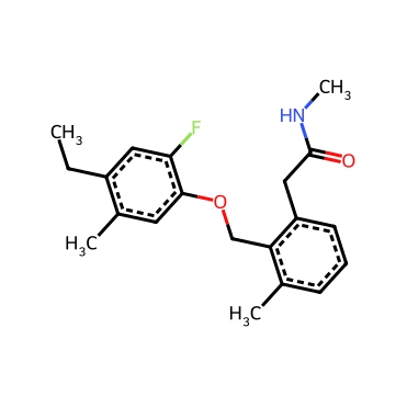 CCc1cc(F)c(OCc2c(C)cccc2CC(=O)NC)cc1C